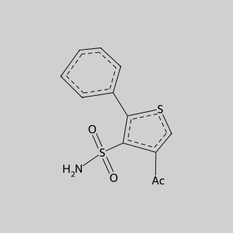 CC(=O)c1csc(-c2ccccc2)c1S(N)(=O)=O